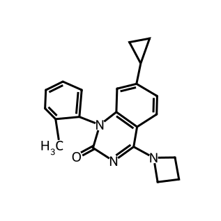 Cc1ccccc1-n1c(=O)nc(N2CCC2)c2ccc(C3CC3)cc21